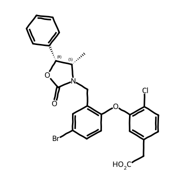 C[C@H]1[C@@H](c2ccccc2)OC(=O)N1Cc1cc(Br)ccc1Oc1cc(CC(=O)O)ccc1Cl